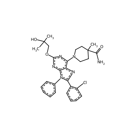 CC(C)(O)COc1nc(N2CCC(C)(C(N)=O)CC2)c2nc(-c3ccccc3Cl)n(-c3ccccc3)c2n1